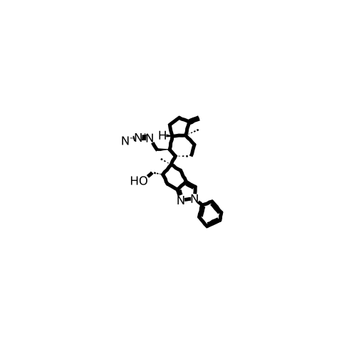 C=C1CC[C@H]2[C@H](CN=[N+]=[N-])[C@@H]([C@@]3(C)Cc4cn(-c5ccccc5)nc4C[C@@H]3CO)CC[C@]12C